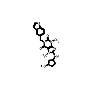 Cn1c(NC2CCC(O)C2)nc2c1c(=O)n(Cc1ccc3sccc3c1)c(=O)n2C